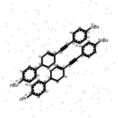 CCCCc1ccc(C#CC2=CCC(c3ccc(CCC)cc3)CC2)cc1.CCCCc1ccc(C#CC2=CCC(c3ccc(CCCC)cc3)CC2)cc1